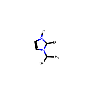 CCC1N(CC)C=CN1C(C)C#N